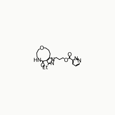 CCc1nn(CCCOC(=O)c2cccnn2)c2c1C(=O)NCCCOCCC2